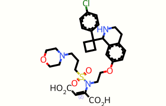 O=C(O)/C=C(/C(=O)O)N(CCOc1ccc2c(c1)C(C1(c3ccc(Cl)cc3)CCC1)NCC2)S(=O)(=O)CCCN1CCOCC1